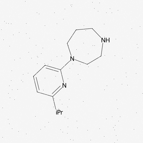 CC(C)c1cccc(N2CCCNCC2)n1